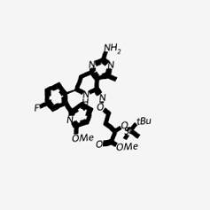 COC(=O)C(CCO/N=C1\N[C@@H](c2ccc(F)cc2-c2cccc(OC)n2)Cc2nc(N)nc(C)c21)O[Si](C)(C)C(C)(C)C